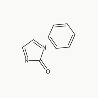 O=C1N=CC=N1.c1ccccc1